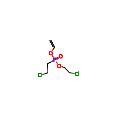 C=COP(=O)(CCCl)OCCCl